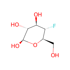 OC[C@H]1O[C@@H](O)[C@H](O)[C@@H](O)[C@@H]1F